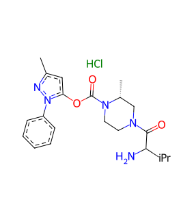 Cc1cc(OC(=O)N2CCN(C(=O)C(N)C(C)C)C[C@H]2C)n(-c2ccccc2)n1.Cl